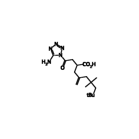 C=C(CC(CC(=O)n1nnnc1N)C(=O)O)CC(C)(C)CC(C)(C)C